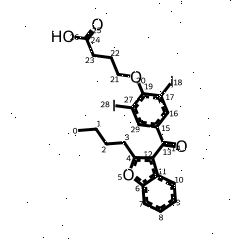 CCCCc1oc2ccccc2c1C(=O)c1cc(I)c(OCCCC(=O)O)c(I)c1